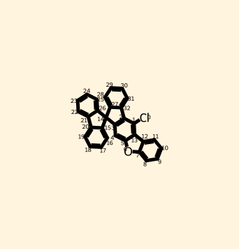 Clc1c2c(cc3oc4ccccc4c13)C1(c3ccccc3-c3ccccc31)c1ccccc1-2